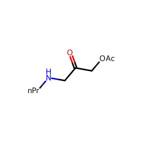 CCCNCC(=O)COC(C)=O